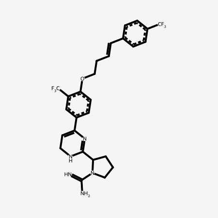 N=C(N)N1CCCC1C1=NC(c2ccc(OCC/C=C/c3ccc(C(F)(F)F)cc3)c(C(F)(F)F)c2)=CCN1